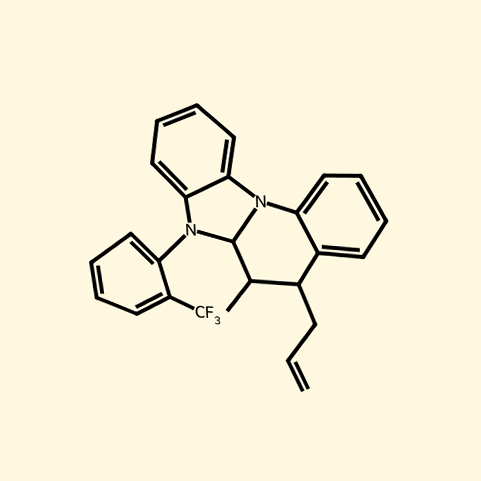 C=CCC1c2ccccc2N2c3ccccc3N(c3ccccc3C(F)(F)F)C2C1C